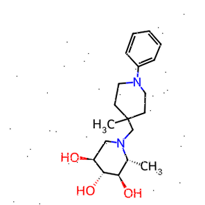 C[C@@H]1[C@@H](O)[C@H](O)[C@@H](O)CN1CC1(C)CCN(c2ccccc2)CC1